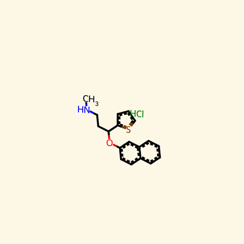 CNCCC(Oc1ccc2ccccc2c1)c1cccs1.Cl